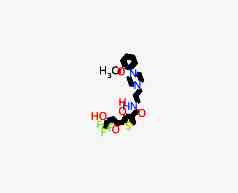 COc1ccccc1N1CCN(CCCNC(=O)c2csc(C(=O)/C=C(/O)C(F)(F)F)c2O)CC1